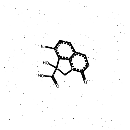 O=C(O)C1(O)Cn2c(=O)ccc3ccc(Br)c1c32